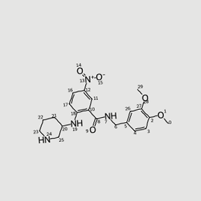 COc1ccc(CNC(=O)c2cc([N+](=O)[O-])ccc2NC2CCCNC2)cc1OC